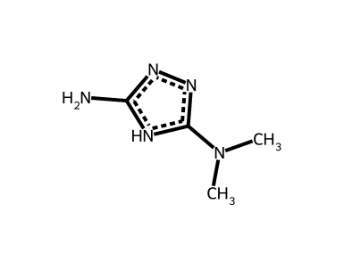 CN(C)c1nnc(N)[nH]1